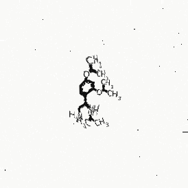 CC(C)NC(CN)c1ccc(OC(C)C)cc1OC(C)C